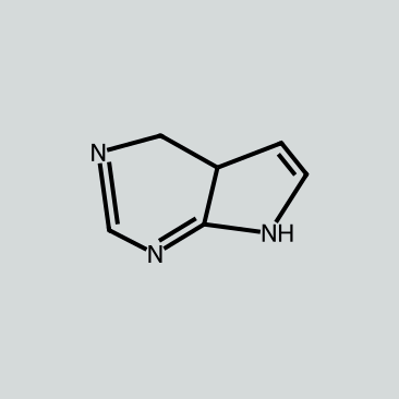 C1=CC2CN=CN=C2N1